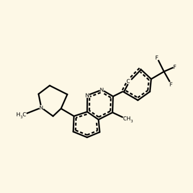 Cc1c(-c2ccc(C(F)(F)F)cc2)nnc2c(C3CCCN(C)C3)cccc12